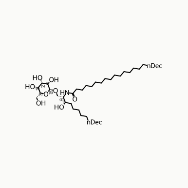 CCCCCCCCCCCCCCCCCCCCCCCCCC(=O)N[C@@H](CO[C@H]1O[C@H](CO)[C@H](O)[C@H](O)[C@H]1O)[C@H](O)CCCCCCCCCCCCCCC